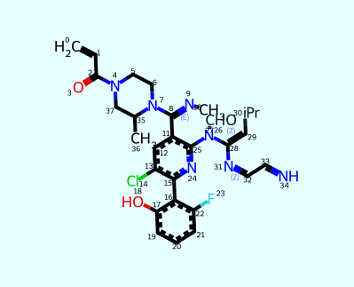 C=CC(=O)N1CCN(/C(=N/C)c2cc(Cl)c(-c3c(O)cccc3F)nc2N(C=O)C(=C\C(C)C)/N=C\C=N)C(C)C1